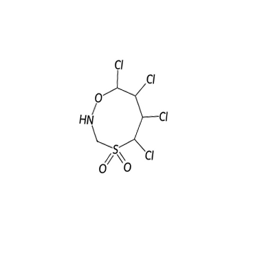 O=S1(=O)CNOC(Cl)C(Cl)C(Cl)C1Cl